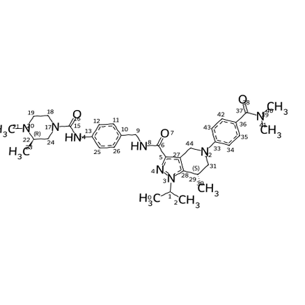 CC(C)n1nc(C(=O)NCc2ccc(NC(=O)N3CCN(C)[C@H](C)C3)cc2)c2c1[C@@H](C)CN(c1ccc(C(=O)N(C)C)cc1)C2